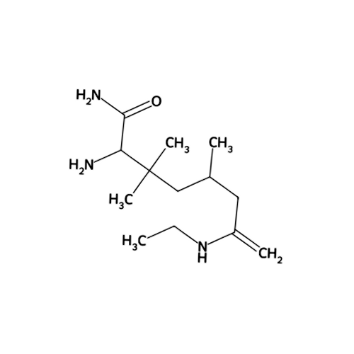 C=C(CC(C)CC(C)(C)C(N)C(N)=O)NCC